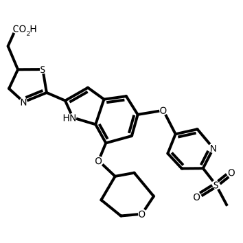 CS(=O)(=O)c1ccc(Oc2cc(OC3CCOCC3)c3[nH]c(C4=NCC(CC(=O)O)S4)cc3c2)cn1